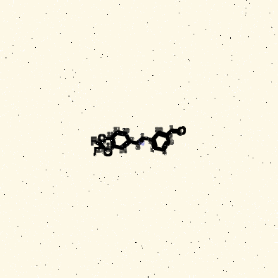 O=Cc1cccc(/C=C/c2ccc3c(c2)OC(F)(F)O3)c1